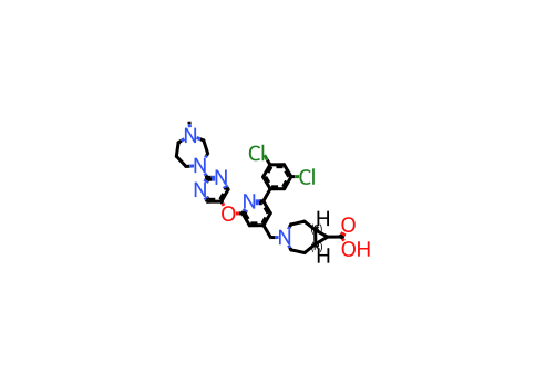 CN1CCCN(c2ncc(Oc3cc(CN4CC[C@@H]5C(C(=O)O)[C@@H]5CC4)cc(-c4cc(Cl)cc(Cl)c4)n3)cn2)CC1